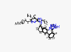 CCc1nc2c(C)cc(CCOC)nc2n1C1CCc2cc(-c3ccccc3-c3nnn[nH]3)ccc21